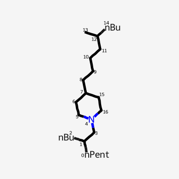 CCCCCC(CCCC)CN1CCC(CCCCC(C)CCCC)CC1